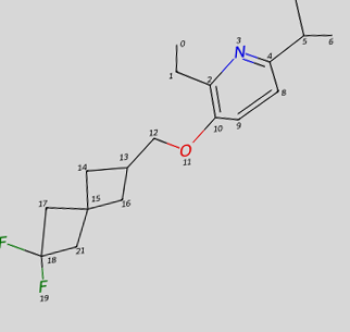 CCc1nc(C(C)C)ccc1OCC1CC2(C1)CC(F)(F)C2